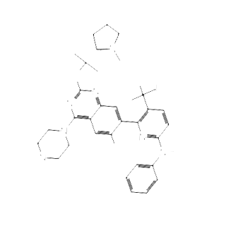 CN1CCC[C@H]1C(C)(C)Oc1nc(N2CCNCC2)c2cc(Cl)c(-c3nc(Nc4ccccc4)ccc3C(F)(F)F)cc2n1